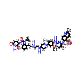 CCOc1cc(N2CCC(NCCNCCc3cccc4c3n(C3CC3)c(=O)n4C3CCC(=O)NC3=O)CC2)c(CC)cc1Nc1ncc(Br)c(Nc2ccc3nc(CC)ccc3c2P(C)(C)=O)n1